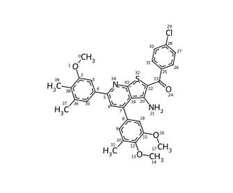 COc1cc(-c2cc(-c3cc(C)c(OC)c(OC)c3)c3c(N)c(C(=O)c4ccc(Cl)cc4)sc3n2)cc(C)c1C